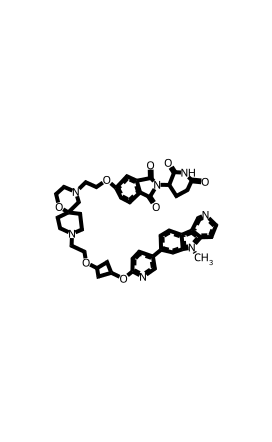 Cn1c2ccncc2c2ccc(-c3ccc(OC4CC(OCCN5CCC6(CC5)CN(CCOc5ccc7c(c5)C(=O)N(C5CCC(=O)NC5=O)C7=O)CCO6)C4)nc3)cc21